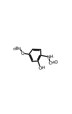 CCCCOc1ccc(NC=O)c(O)c1